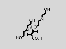 O=C(O)C(I)=C(I)C(=O)O.OCCNCCO.OCCNCCO